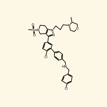 CC1COCCN1CCCn1nc(-c2ccc(Cl)c(-c3ccc(CNCc4ccc(Cl)cc4)cc3)c2)c2c1CCN(S(C)(=O)=O)C2